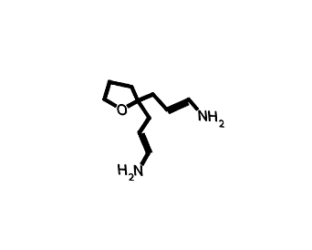 NC=CCC1(CC=CN)CCCO1